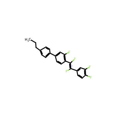 CCCc1ccc(-c2ccc(/C(F)=C(\F)c3ccc(F)c(F)c3)c(F)c2)cc1